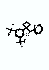 OC(c1ccccn1)C1(c2cc(C(F)(F)F)cc(C(F)(F)F)c2)CCC1